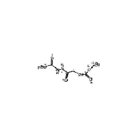 CCCCC(=O)NNC(=O)CNC(=O)OC(C)(C)C